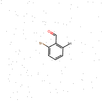 [2H]c1cccc(Br)c1C=O